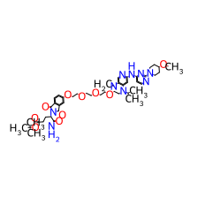 C=Nc1cnc(Nc2ccnc(N3CCC(OC)CC3)n2)cc1N(CCOCCOCCOCCOc1ccc2c(c1)C(=O)N(C(CCC(=O)OC(C)(C)C)C(N)=O)C2=O)C(C)C